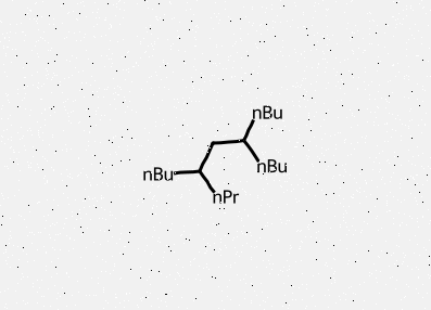 CCCCC(CCC)CC(CCCC)CCCC